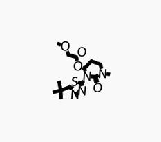 COCC(=O)OC1CCN(C)C(=O)N1c1nnc(C(C)(C)C)s1